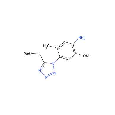 COCc1nnnn1-c1cc(OC)c(N)cc1C